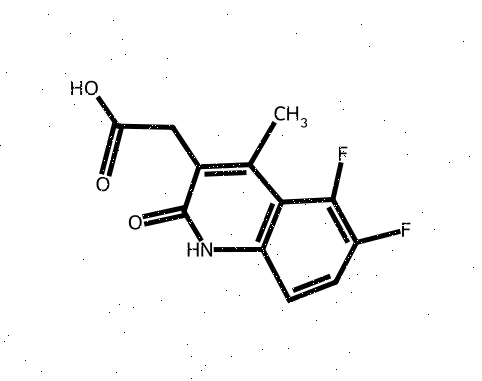 Cc1c(CC(=O)O)c(=O)[nH]c2ccc(F)c(F)c12